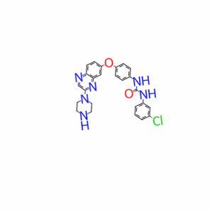 O=C(Nc1ccc(Oc2ccc3ncc(N4CCNCC4)nc3c2)cc1)Nc1cccc(Cl)c1